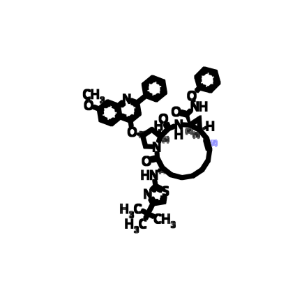 COc1ccc2c(O[C@@H]3C[C@H]4C(=O)N[C@]5(C(=O)NOc6ccccc6)C[C@H]5/C=C\CCCCC[C@H](Nc5nc(C(C)(C)C)cs5)C(=O)N4C3)cc(-c3ccccc3)nc2c1